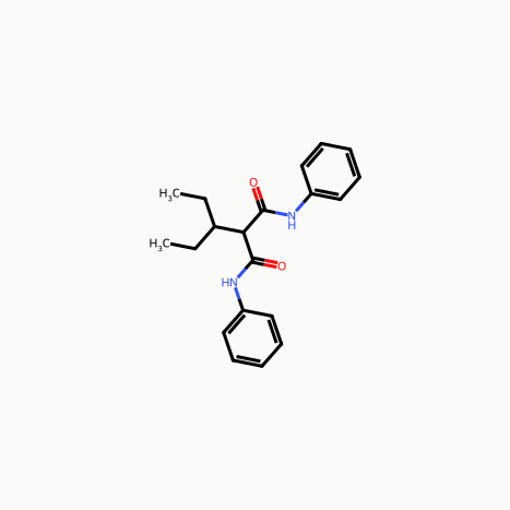 CCC(CC)C(C(=O)Nc1ccccc1)C(=O)Nc1ccccc1